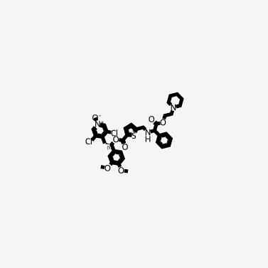 COc1ccc([C@H](Cc2c(Cl)c[n+]([O-])cc2Cl)OC(=O)c2ccc(CNC(C(=O)OCCN3CCCCC3)c3ccccc3)s2)cc1OC